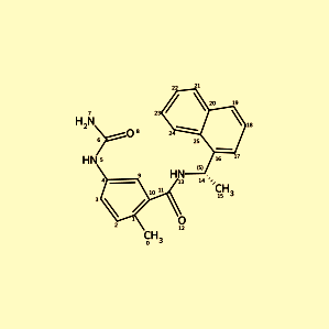 Cc1ccc(NC(N)=O)cc1C(=O)N[C@@H](C)c1cccc2ccccc12